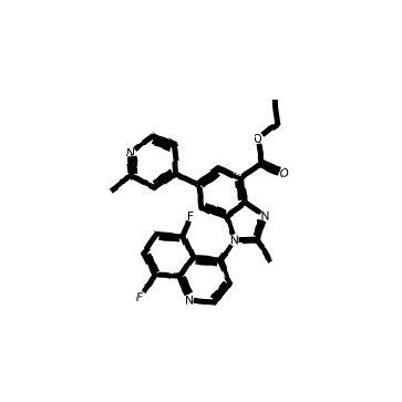 CCOC(=O)c1cc(-c2ccnc(C)c2)cc2c1nc(C)n2-c1ccnc2c(F)ccc(F)c12